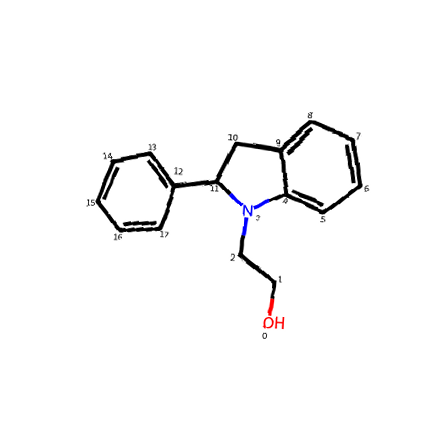 OCCN1c2ccccc2CC1c1ccccc1